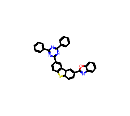 C1=CC2Sc3ccc(-c4nc(-c5ccccc5)nc(-c5ccccc5)n4)cc3C2C=C1c1nc2ccccc2o1